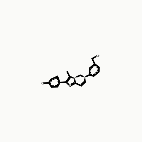 CC1=C(c2ccc(Cl)cc2)N=C2C=CN(c3cccc(CO)c3)C[N+]21